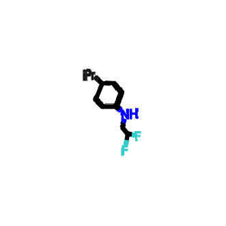 CC(C)C1CCC(NCC(F)F)CC1